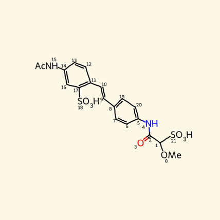 COC(C(=O)Nc1ccc(/C=C/c2ccc(NC(C)=O)cc2S(=O)(=O)O)cc1)S(=O)(=O)O